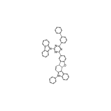 C1=CC2c3cc(-c4nc(-c5cccc(-c6ccccc6)c5)nc(-n5c6ccccc6c6ccccc65)n4)ccc3OC2c2c1n(-c1ccccc1)c1ccccc21